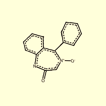 O=c1c[n+]([O-])c(-c2ccccc2)c2ccccc2n1